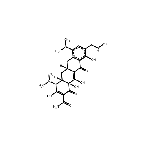 CN(C)c1cc(CNC(C)(C)C)c(O)c2c1C[C@H]1C[C@H]3[C@H](N(C)C)C(O)=C(C(N)=O)C(=O)[C@@]3(O)C(O)=C1C2=O